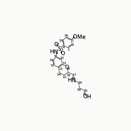 COc1ccc(S(=O)(=O)Nc2ccc3c(c2)OC(CNCCCO)CC3)cc1